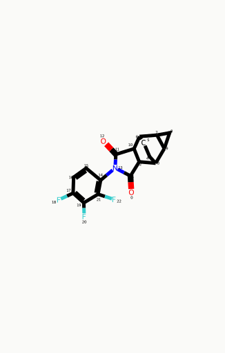 O=C1C2C3CCC(C4CC43)C2C(=O)N1c1ccc(F)c(F)c1F